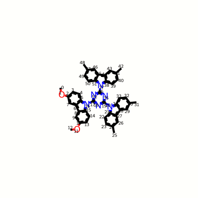 COc1ccc2c(c1)c1cc(OC)ccc1n2-c1nc(-n2c3ccc(C)cc3c3cc(C)ccc32)nc(-n2c3ccc(C)cc3c3cc(C)ccc32)n1